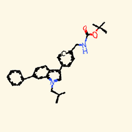 CC(C)Cn1cc(-c2ccc(CNC(=O)OC(C)(C)C)cc2)c2ccc(-c3ccccc3)cc21